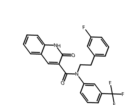 O=C(c1cc2ccccc2[nH]c1=O)N(CCc1cccc(F)c1)c1cccc(C(F)(F)F)c1